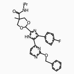 CC(C)NC(=O)C1(C)COC(c2nc(-c3ccc(F)cc3)c(-c3ccnc(OCc4ccccc4)n3)[nH]2)OC1